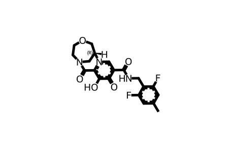 Cc1cc(F)c(CNC(=O)c2cn3c(c(O)c2=O)C(=O)N2CCOC[C@H]3C2)c(F)c1